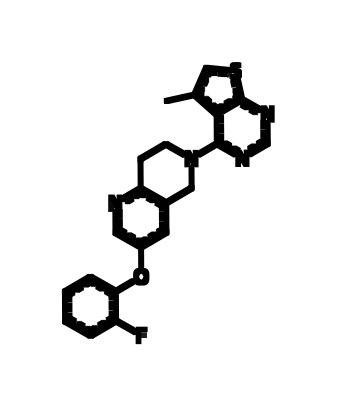 Cc1csc2ncnc(N3CCc4ncc(Oc5ccccc5F)cc4C3)c12